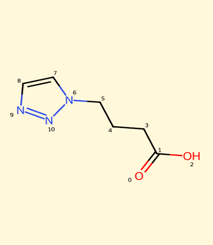 O=C(O)CCCn1ccnn1